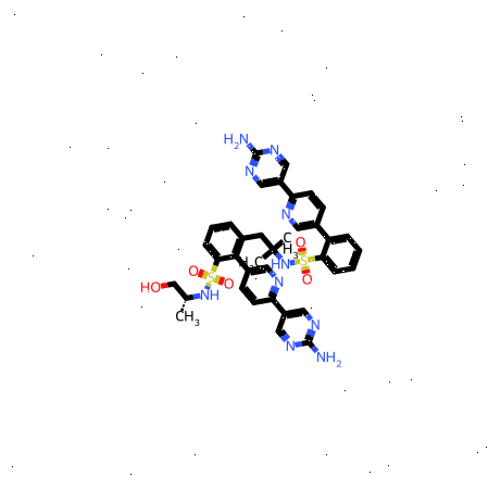 C[C@H](CO)NS(=O)(=O)c1cccc(CC(C)(C)NS(=O)(=O)c2ccccc2-c2ccc(-c3cnc(N)nc3)nc2)c1-c1ccc(-c2cnc(N)nc2)nc1